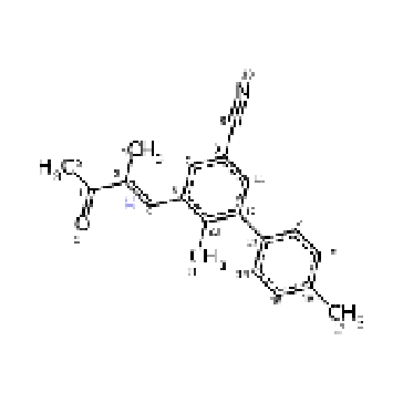 CC(=O)/C(C)=C/c1cc(C#N)cc(-c2ccc(C)cc2)c1C